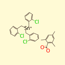 Cc1cc(C)c(C(=O)[O-])c(C)c1.Clc1ccccc1[CH2][Sn+]([CH2]c1ccccc1Cl)[CH2]c1ccccc1Cl